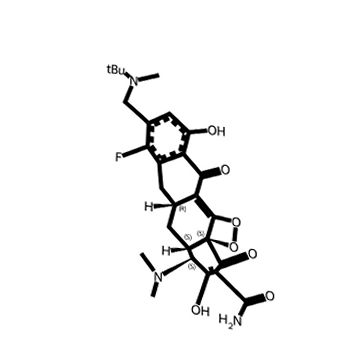 CN(C)[C@@H]1C(O)=C(C(N)=O)C(=O)[C@@]23OOC2=C2C(=O)c4c(O)cc(CN(C)C(C)(C)C)c(F)c4C[C@H]2C[C@@H]13